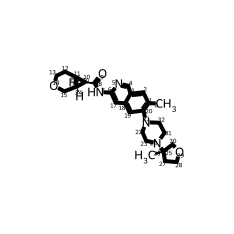 Cc1cc2cnc(NC(=O)[C@@H]3[C@@H]4CCOC[C@@H]43)cc2cc1N1CCN([C@@]2(C)CCOC2)CC1